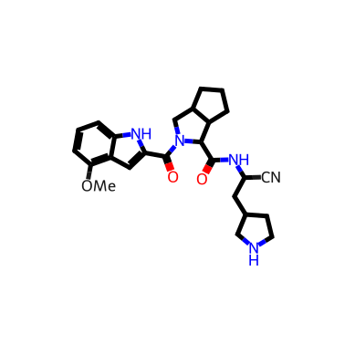 COc1cccc2[nH]c(C(=O)N3CC4CCCC4C3C(=O)NC(C#N)CC3CCNC3)cc12